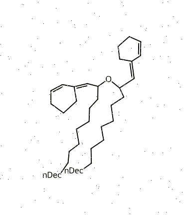 CCCCCCCCCCCCCCCCCC(C=C1C=CCCC1)OC(C=C1C=CCCC1)CCCCCCCCCCCCCCCCC